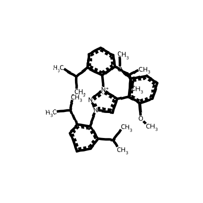 COc1cccc(OC)c1-c1cn(-c2c(C(C)C)cccc2C(C)C)n[n+]1-c1c(C(C)C)cccc1C(C)C